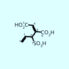 C=CC(C(=CC(=O)O)C(=O)O)S(=O)(=O)O